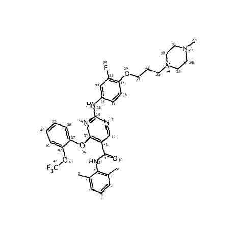 Cc1cccc(C)c1NC(=O)c1cnc(Nc2ccc(OCCCN3CCN(C)CC3)c(F)c2)nc1Oc1ccccc1OC(F)(F)F